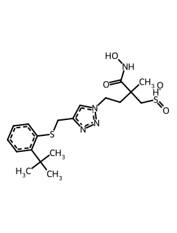 CC(CCn1cc(CSc2ccccc2C(C)(C)C)nn1)(C[SH](=O)=O)C(=O)NO